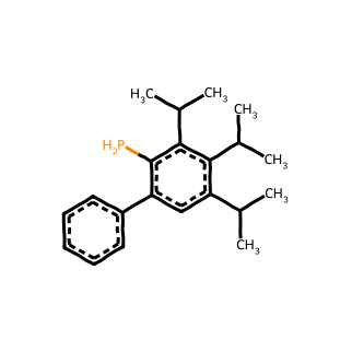 CC(C)c1cc(-c2ccccc2)c(P)c(C(C)C)c1C(C)C